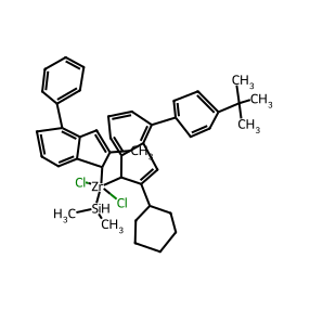 CC1=Cc2c(-c3ccccc3)cccc2[CH]1[Zr]([Cl])([Cl])([CH]1C(C2CCCCC2)=Cc2c(-c3ccc(C(C)(C)C)cc3)cccc21)[SiH](C)C